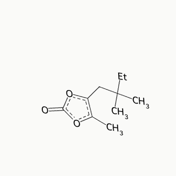 CCC(C)(C)Cc1oc(=O)oc1C